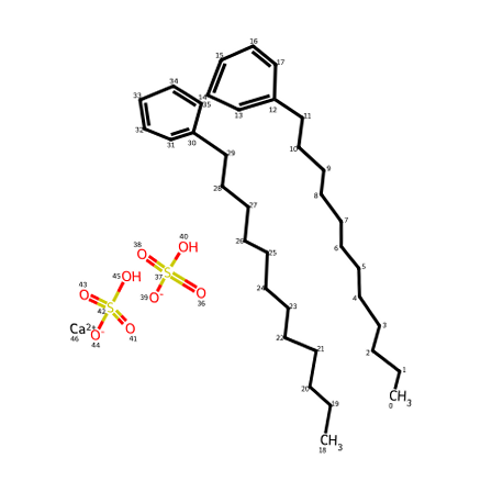 CCCCCCCCCCCCc1ccccc1.CCCCCCCCCCCCc1ccccc1.O=S(=O)([O-])O.O=S(=O)([O-])O.[Ca+2]